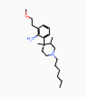 CCCCCCN1CCC(C)(c2cccc(CCOC)c2N)C(C)C1